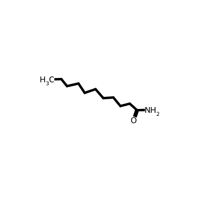 CCCCCCCCCCC(N)=O